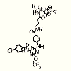 C[C@@H](NC(=O)CCCNC(=O)c1ccc(Nc2nc(NC3(c4ccc(Cl)cc4)CC3)nc(OCC(F)(F)F)n2)cc1)C(=O)NS(=O)(=O)C1CC1